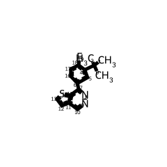 CC(C)(C)c1cc(-c2nncc3ccsc23)ccc1F